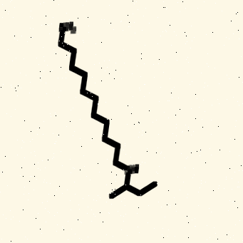 CCC(C)NCCCCCCCCCCCN